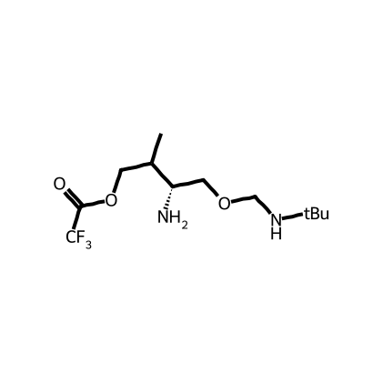 CC(COC(=O)C(F)(F)F)[C@@H](N)COCNC(C)(C)C